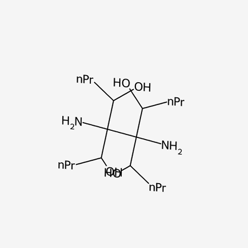 CCCC(O)C(N)(C(O)CCC)C(N)(C(O)CCC)C(O)CCC